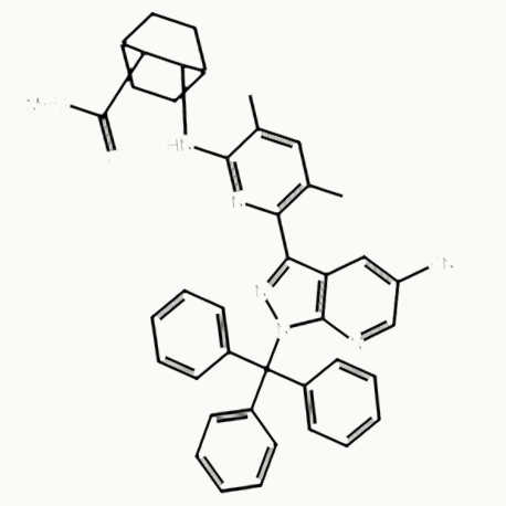 COC(=O)C1C2CCC(CC2)C1Nc1nc(-c2nn(C(c3ccccc3)(c3ccccc3)c3ccccc3)c3ncc(C#N)cc23)c(F)cc1F